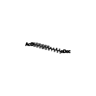 CCCCCCCCCCCCCCCCCCCCCCCCCCCCCCOC(C)=O